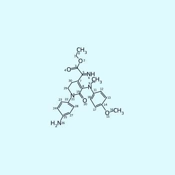 CCOC(=O)C(=N)C1=C(N(C)c2ccc(OC)cc2)C(=O)N(c2ccc(N)cc2)CC1